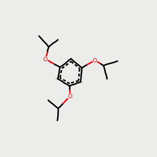 CC(C)Oc1[c]c(OC(C)C)cc(OC(C)C)[c]1